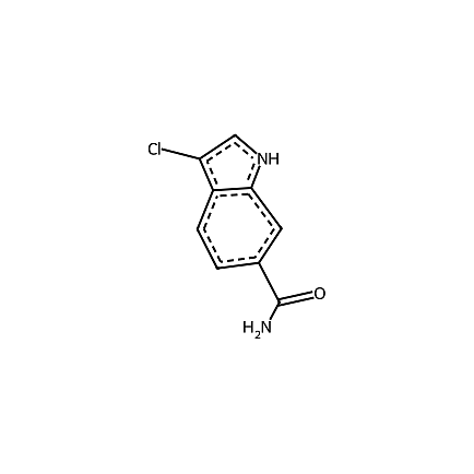 NC(=O)c1ccc2c(Cl)c[nH]c2c1